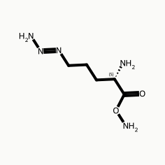 NN=NCCC[C@H](N)C(=O)ON